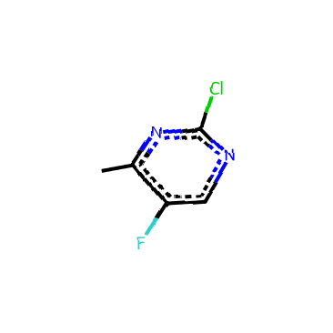 Cc1nc(Cl)ncc1F